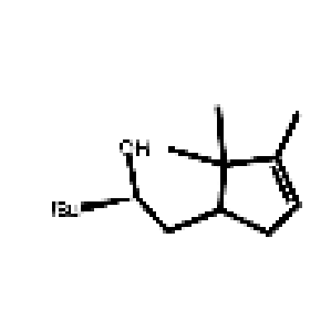 CCC(C)[C@@H](O)CC1CC=C(C)C1(C)C